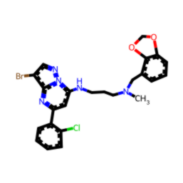 CN(CCCNc1cc(-c2ccccc2Cl)nc2c(Br)cnn12)Cc1cccc2c1OCO2